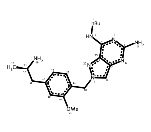 CCCCNc1nc(N)nc2cn(Cc3ccc(C[C@@H](C)N)cc3OC)nc12